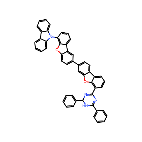 c1ccc(C2=NC(c3cccc4c3oc3cc(-c5ccc6oc7c(-n8c9ccccc9c9ccccc98)cccc7c6c5)ccc34)=NC(c3ccccc3)N2)cc1